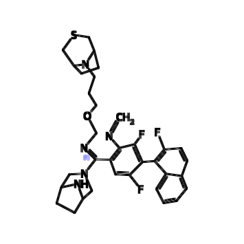 C=Nc1c(/C(=N\COCCCN2C3CCC2CSC3)N2CC3CCC(C2)N3)cc(F)c(-c2c(F)ccc3ccccc23)c1F